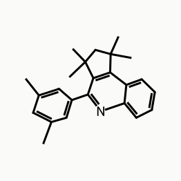 Cc1cc(C)cc(-c2nc3ccccc3c3c2C(C)(C)CC3(C)C)c1